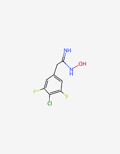 N=C(Cc1cc(F)c(Cl)c(F)c1)NO